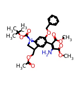 COC(=O)C(N)=C(C(=O)OC)c1cc2c(cc1OCc1ccccc1)N(C(=O)OC(C)(C)C)CC2COC(C)=O